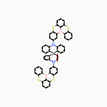 c1ccc2c(c1)Sc1cccc3c1B2c1cc(N2c4ccccc4[Si]4(c5ccccc52)c2ccccc2N(c2ccc5c(c2)B2c6ccccc6Sc6cccc(c62)S5)c2ccccc24)ccc1S3